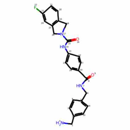 NCc1ccc(CNC(=O)c2ccc(NC(=O)N3Cc4ccc(F)cc4C3)cc2)cc1